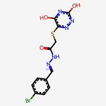 O=C(CSc1nnc(O)nc1O)N/N=C/c1ccc(Br)cc1